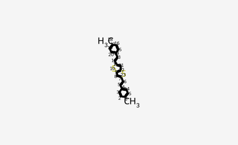 Cc1ccc(C=Cc2cc3sc(C=Cc4ccc(C)cc4)cc3s2)cc1